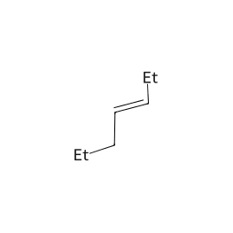 CC/C=C/CCC